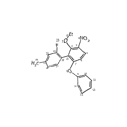 CCOc1c([N+](=O)[O-])ccc(Oc2ccccc2)c1-c1ccc(C)cc1F